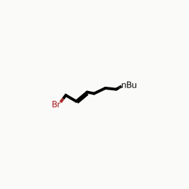 CCCCCCCC=CCBr